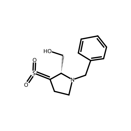 O=S(=O)=C1CCN(Cc2ccccc2)[C@H]1CO